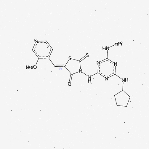 CCCNc1nc(NC2CCCC2)nc(NN2C(=O)/C(=C/c3ccncc3OC)SC2=S)n1